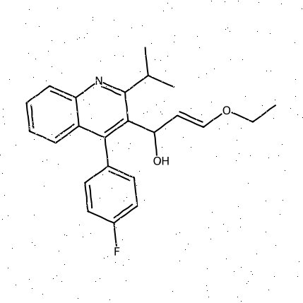 CCOC=CC(O)c1c(C(C)C)nc2ccccc2c1-c1ccc(F)cc1